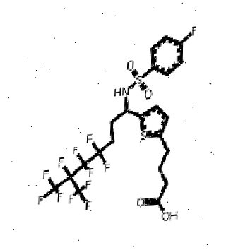 O=C(O)CCCc1ccc(C(CCC(F)(F)C(F)(F)C(F)(C(F)(F)F)C(F)(F)F)NS(=O)(=O)c2ccc(F)cc2)s1